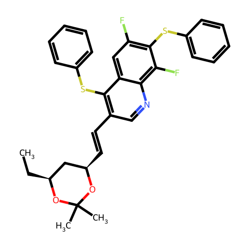 CC[C@H]1C[C@@H](/C=C/c2cnc3c(F)c(Sc4ccccc4)c(F)cc3c2Sc2ccccc2)OC(C)(C)O1